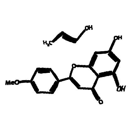 CC=CO.COc1ccc(-c2cc(=O)c3c(O)cc(O)cc3o2)cc1